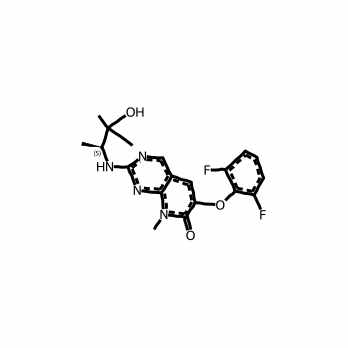 C[C@H](Nc1ncc2cc(Oc3c(F)cccc3F)c(=O)n(C)c2n1)C(C)(C)O